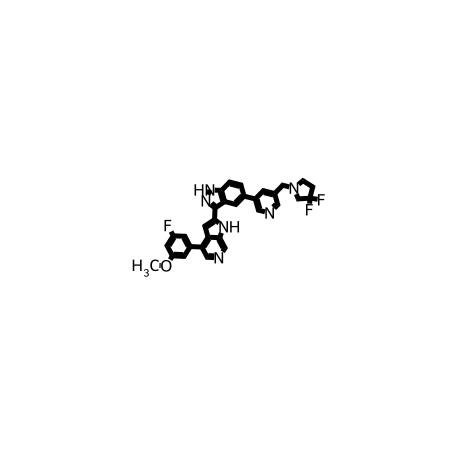 COc1cc(F)cc(-c2cncc3[nH]c(-c4n[nH]c5ccc(-c6cncc(CN7CCC(F)(F)C7)c6)cc45)cc23)c1